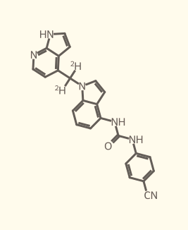 [2H]C([2H])(c1ccnc2[nH]ccc12)n1ccc2c(NC(=O)Nc3ccc(C#N)cc3)cccc21